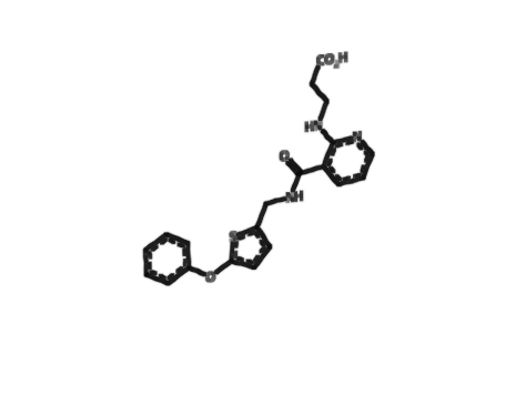 O=C(O)CCNc1ncccc1C(=O)NCc1ccc(Oc2ccccc2)s1